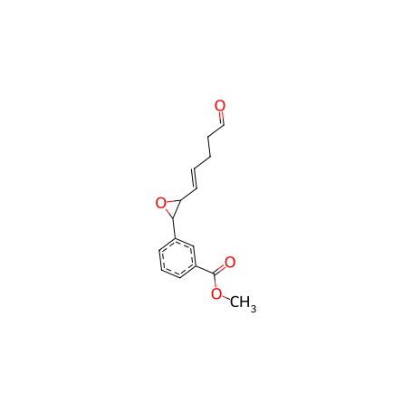 COC(=O)c1cccc(C2OC2/C=C/CCC=O)c1